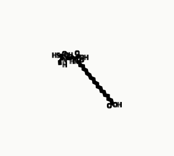 CC[C@H](NC(O)CC[C@H](NC(=O)CCCCCCCCCCCCCCCCCCC(=O)O)C(=O)O)C(=O)S